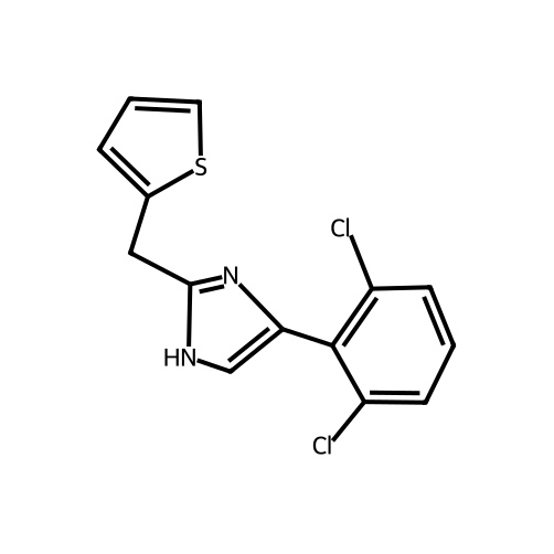 Clc1cccc(Cl)c1-c1c[nH]c(Cc2cccs2)n1